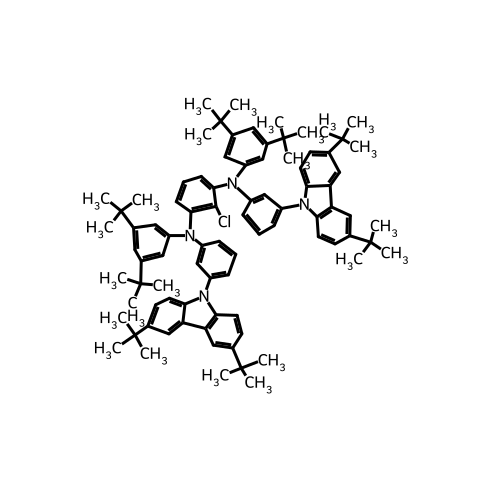 CC(C)(C)c1cc(N(c2cccc(-n3c4ccc(C(C)(C)C)cc4c4cc(C(C)(C)C)ccc43)c2)c2cccc(N(c3cccc(-n4c5ccc(C(C)(C)C)cc5c5cc(C(C)(C)C)ccc54)c3)c3cc(C(C)(C)C)cc(C(C)(C)C)c3)c2Cl)cc(C(C)(C)C)c1